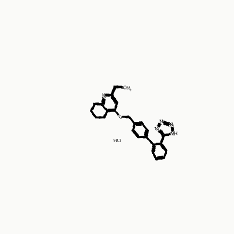 CCc1cc(OCc2ccc(-c3ccccc3-c3nnn[nH]3)cc2)c2c(n1)CCCC2.Cl